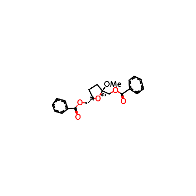 CO[C@]1(COC(=O)c2ccccc2)CC[C@@H](COC(=O)c2ccccc2)O1